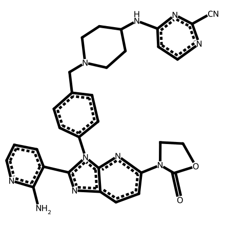 N#Cc1nccc(NC2CCN(Cc3ccc(-n4c(-c5cccnc5N)nc5ccc(N6CCOC6=O)nc54)cc3)CC2)n1